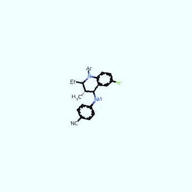 CCC1[C@@H](C)C(Nc2ccc(C#N)cc2)c2cc(F)ccc2N1C(C)=O